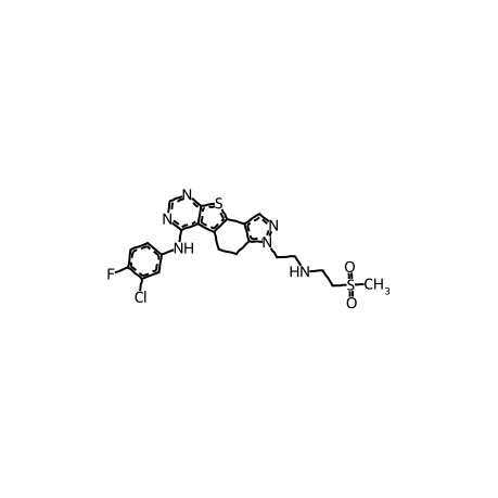 CS(=O)(=O)CCNCCn1ncc2c1CCc1c-2sc2ncnc(Nc3ccc(F)c(Cl)c3)c12